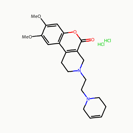 COc1cc2oc(=O)c3c(c2cc1OC)CCN(CCN1CC=CCC1)C3.Cl.Cl